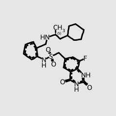 C[C@@H](CC1CCCCC1)NCc1ccccc1NS(=O)(=O)Cc1cc(F)c2[nH]c(=O)[nH]c(=O)c2c1